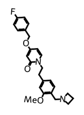 COc1cc(CCn2ccc(OCc3ccc(F)cc3)cc2=O)ccc1CN1CCC1